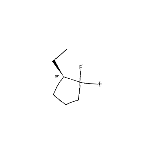 CC[C@@H]1CCCC1(F)F